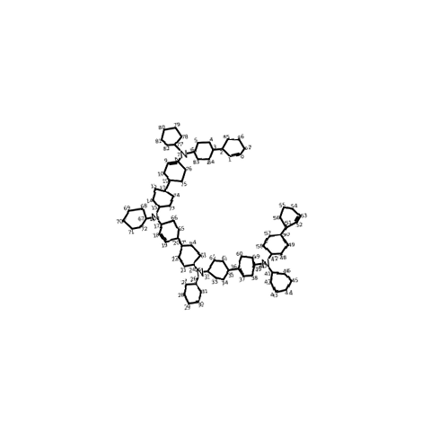 C1=CC(C2CCC(N(C3=CCC(C4CCC(N(C5C=CC(C6CCC(N(C7CCCCC7)C7CCC(C8=CCC(N(C9CCCCC9)C9CCC(C%10C=CCCC%10)CC9)CC8)CC7)CC6)CC5)C5CCCCC5)CC4)CC3)C3CCCCC3)CC2)CCC1